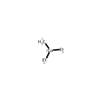 C[CH2][Ga]([CH3])[CH2]C